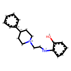 Oc1ccccc1NCCN1CCC(c2ccccc2)CC1